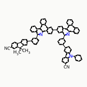 CC1(C)c2cc(C#N)ccc2-c2ccc(-c3cccc(-c4nc5c6ccc(-c7ccc8c(c7)c(-c7cccc(-c9ccc%10c(c9)c9ccc(C#N)cc9n%10-c9ccccc9)c7)nc7c9ccccc9c9ccccc9c87)cc6c6ccccc6c5c5ccccc45)c3)cc21